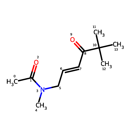 CC(=O)N(C)C/C=C/C(=O)C(C)(C)C